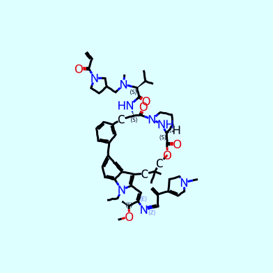 C=CC(=O)N1CCC(CN(C)[C@H](C(=O)N[C@H]2Cc3cccc(c3)-c3ccc4c(c3)c(c(/C=C(/N=C\C(=C)C3=CCN(C)CC3)[C@H](C)OC)n4CC)CC(C)(C)COC(=O)[C@@H]3CCCN(N3)C2=O)C(C)C)C1